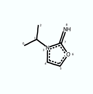 CC(C)n1ccoc1=N